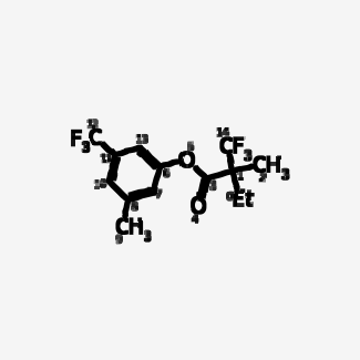 CCC(C)(C(=O)Oc1cc(C)cc(C(F)(F)F)c1)C(F)(F)F